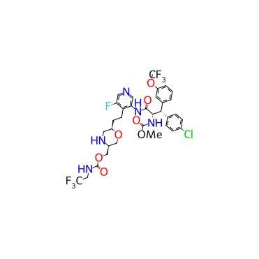 COC(=O)N[C@H](C(=O)Nc1cncc(F)c1CC[C@@H]1CN[C@H](COC(=O)NCC(F)(F)F)CO1)[C@@H](c1ccc(Cl)cc1)c1cccc(OC(F)(F)F)c1